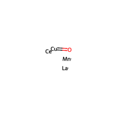 [Ce].[La].[Mn].[O]=[Cu]